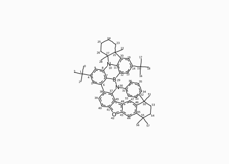 CC(C)(C)c1cc2c3c(c1)N1c4c(cc(C(C)(C)C)cc4C4(C)CCCCC14C)B3N(c1ccccc1)c1c-2ccc2oc3cc4c(cc3c12)C(C)(C)CCC4(C)C